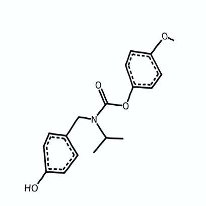 COc1ccc(OC(=O)N(Cc2ccc(O)cc2)C(C)C)cc1